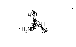 CC(C)(C)OC(=O)NCCC1CCN(C(=O)[C@H](Cc2cccc(CNC(=O)OC(C)(C)C)c2)NS(=O)(=O)c2cccc(N)c2)CC1